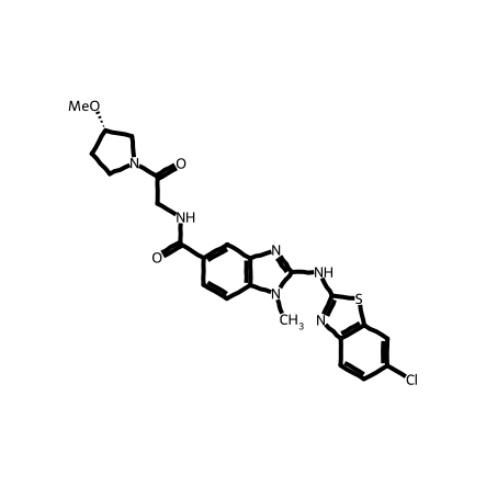 CO[C@H]1CCN(C(=O)CNC(=O)c2ccc3c(c2)nc(Nc2nc4ccc(Cl)cc4s2)n3C)C1